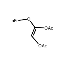 CCCOC(=COC(C)=O)OC(C)=O